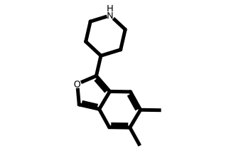 Cc1cc2coc(C3CCNCC3)c2cc1C